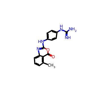 Cc1cccc2nc(Nc3ccc(NC(=N)N)cc3)oc(=O)c12